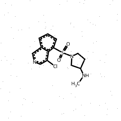 CNC1CCN(S(=O)(=O)c2cccc3cncc(Cl)c23)C1